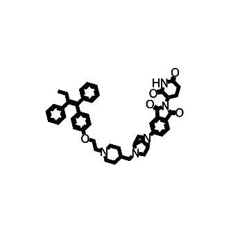 CCC(=C(c1ccccc1)c1ccc(OCCN2CCC(CN3CC4CC3CN4c3ccc4c(c3)C(=O)N(C3CCC(=O)NC3=O)C4=O)CC2)cc1)c1ccccc1